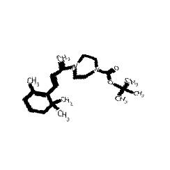 C=C(/C=C/C1=C(C)CCCC1(C)C)N1CCN(C(=O)OC(C)(C)C)CC1